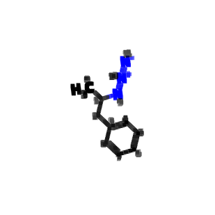 CC(Cc1ccccc1)N=[N+]=[N-]